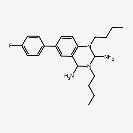 CCCCN1c2ccc(-c3ccc(F)cc3)cc2C(N)N(CCCC)C1N